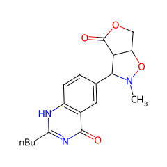 CCCCc1nc(=O)c2cc(C3C4C(=O)OCC4ON3C)ccc2[nH]1